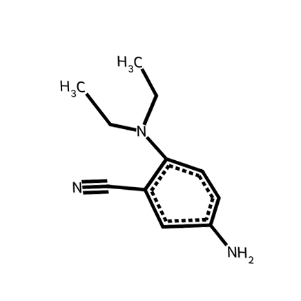 CCN(CC)c1ccc(N)cc1C#N